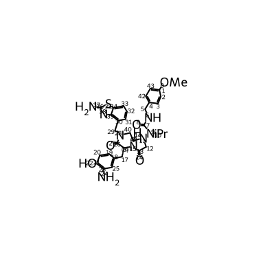 COc1ccc(CNC(=O)N(C(C)C)N2CC(=O)N3[C@@H](Cc4ccc(O)c(N)c4)C(=O)N(Cc4cccc5sc(N)nc45)C[C@@H]32)cc1